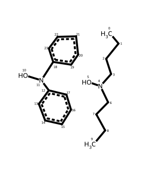 CCCCN(O)CCCC.ON(c1ccccc1)c1ccccc1